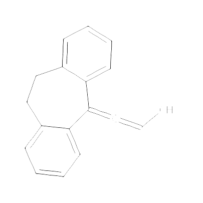 CC=C=C1c2ccccc2CCc2ccccc21